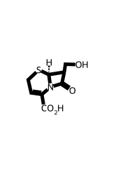 O=C(O)C1=CCS[C@H]2C(CO)C(=O)N12